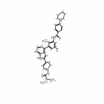 Cc1c(NC(=O)c2ccc(N3CCCCC3)cc2)cc(F)cc1-c1ncnc2[nH]c(C3=CCN(OC(=O)N(C)C)CC3)cc12